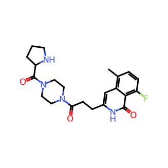 Cc1ccc(F)c2c(=O)[nH]c(CCC(=O)N3CCN(C(=O)C4CCCN4)CC3)cc12